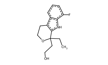 CCC1(CCO)OCCc2c1[nH]c1c(F)cccc21